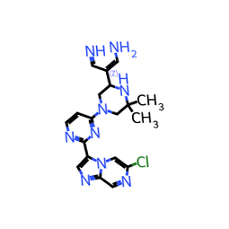 CC1(C)CN(c2ccnc(-c3cnc4cnc(Cl)cn34)n2)CC(/C(C=N)=C/N)N1